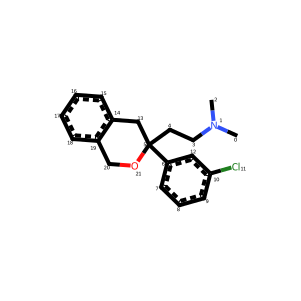 CN(C)CCC1(c2cccc(Cl)c2)Cc2ccccc2CO1